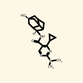 CN(C)c1ncc(C(=O)N[C@H]2C3CC4CC2C[C@@](O)(C4)C3)c(C2CC2)n1